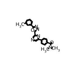 Cc1cccc(-c2nnc(-c3cncc(-c4ccc(C(=O)N(C)C)cc4)n3)o2)c1